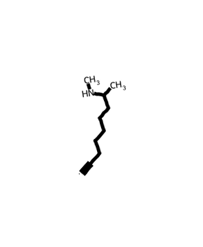 [C]#CCCCCCC(C)NC